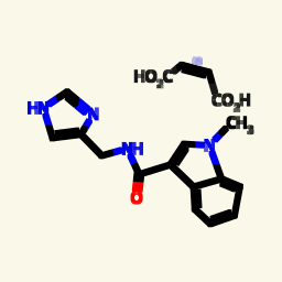 Cn1cc(C(=O)NCc2c[nH]cn2)c2ccccc21.O=C(O)/C=C\C(=O)O